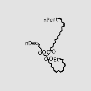 CC/C=C\C/C=C\C/C=C\C/C=C\CCCCC(=O)O[C@@H](COC(=O)CCCCCCCCCCC/C=C\C/C=C\CCCCC)COC(=O)CCCCCCCCCCCCC